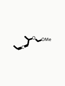 CC=C=CC(C)OCOC